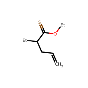 C=CCC(CC)C(=S)OCC